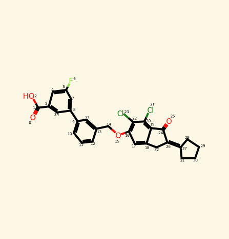 O=C(O)c1cc(F)cc(-c2cccc(COc3cc4c(c(Cl)c3Cl)C(=O)C(=C3CCCC3)C4)c2)c1